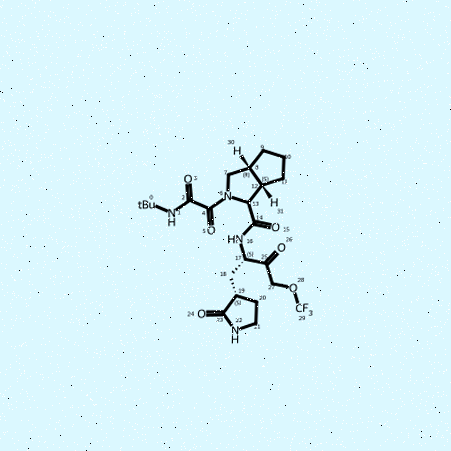 CC(C)(C)NC(=O)C(=O)N1C[C@@H]2CCC[C@@H]2C1C(=O)N[C@@H](C[C@@H]1CCNC1=O)C(=O)COC(F)(F)F